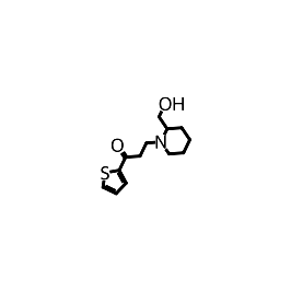 O=C(CCN1CCCCC1CO)c1cccs1